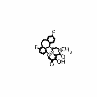 CN1C[C@H](C2c3ccc(F)cc3CCc3c(F)cccc32)n2ncc(=O)c(O)c2C1=O